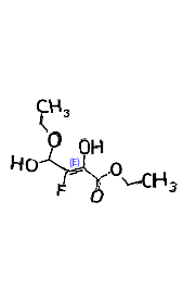 CCOC(=O)/C(O)=C(\F)C(O)OCC